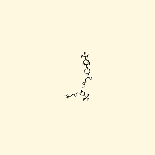 C[Si](C)(C)CCOCC1CC(C(F)(F)F)=CN1CCOC=CC(=O)N1CCN(c2ncc(C(F)(F)F)cn2)CC1